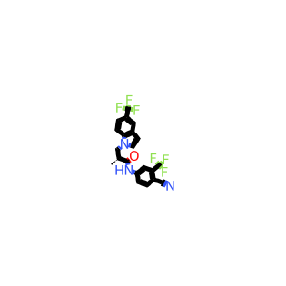 C[C@H](Cn1ccc2cc(C(F)(F)F)ccc21)C(=O)Nc1ccc(C#N)c(C(F)(F)F)c1